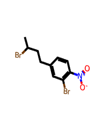 CC(Br)CCc1ccc([N+](=O)[O-])c(Br)c1